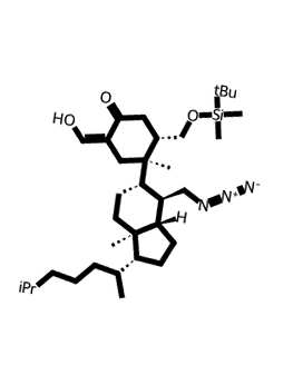 CC(C)CCCC(C)[C@H]1CC[C@H]2[C@H](CN=[N+]=[N-])[C@@H]([C@@]3(C)CC(=CO)C(=O)C[C@@H]3CO[Si](C)(C)C(C)(C)C)CC[C@]12C